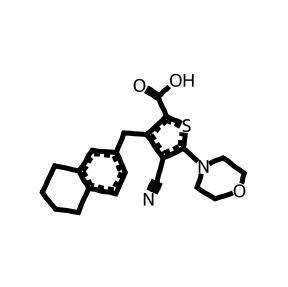 N#Cc1c(N2CCOCC2)sc(C(=O)O)c1Cc1ccc2c(c1)CCCC2